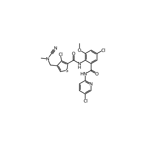 COc1cc(Cl)cc(C(=O)Nc2ccc(Cl)cn2)c1NC(=O)c1scc(CN(C)C#N)c1Cl